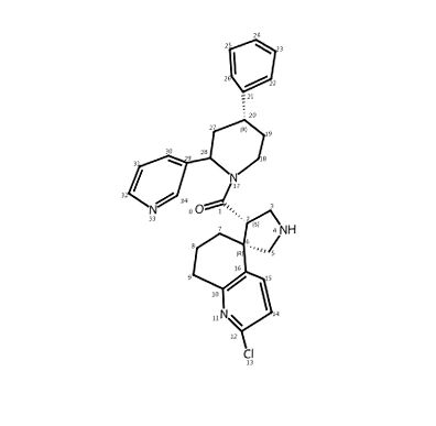 O=C([C@@H]1CNC[C@]12CCCc1nc(Cl)ccc12)N1CC[C@@H](c2ccccc2)CC1c1cccnc1